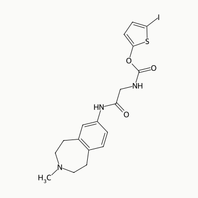 CN1CCc2ccc(NC(=O)CNC(=O)Oc3ccc(I)s3)cc2CC1